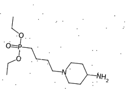 CCOP(=O)(CCCCN1CCC(N)CC1)OCC